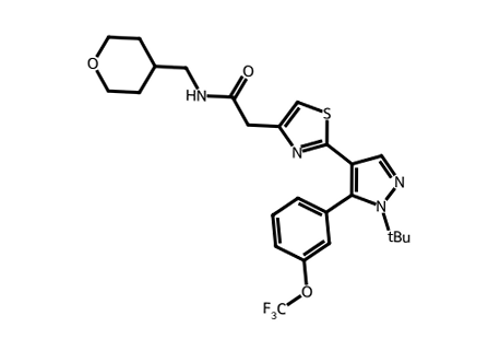 CC(C)(C)n1ncc(-c2nc(CC(=O)NCC3CCOCC3)cs2)c1-c1cccc(OC(F)(F)F)c1